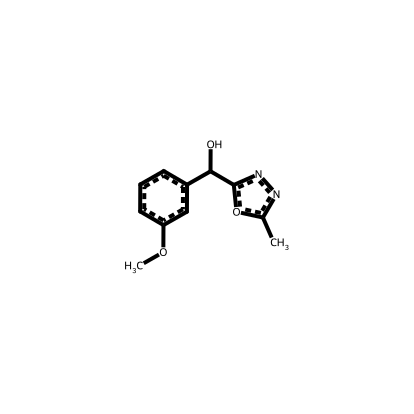 COc1cccc(C(O)c2nnc(C)o2)c1